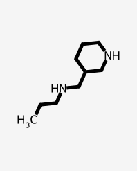 CCCNCC1CCCNC1